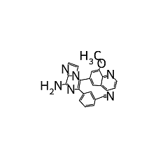 COc1cc(-c2c(-c3cccc(C#N)c3)nc(N)c3nccn23)cc2cccnc12